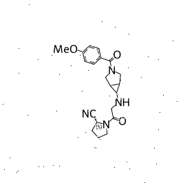 COc1ccc(C(=O)N2CC3C(C2)C3NCC(=O)N2CCC[C@H]2C#N)cc1